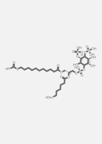 CCCCCCCCCCCCCCCC(=O)O[C@H](COC(=O)CCCCCCCCCCSC(=O)CCC)COP(=O)(O)OC1C(O)[C@@H](OP(=O)(O)O)C(OP(=O)(O)O)[C@@H](O)[C@H]1O